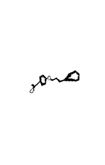 CC(=O)c1ccc(OCCCc2ccccc2)cc1